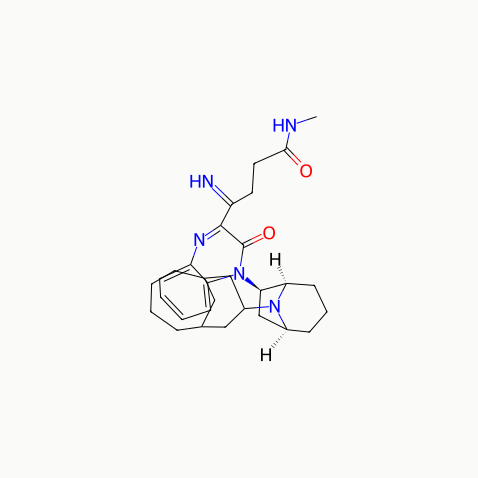 CNC(=O)CCC(=N)c1nc2ccccc2n([C@@H]2C[C@@H]3CCC[C@H]2N3C2CC3CCCCC(C3)C2)c1=O